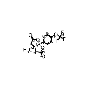 C[N+]12CC(=O)O[B-]1(c1ccc(OC(F)(F)F)cn1)OC(=O)C2